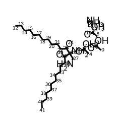 CC(=O)O.CC(=O)O.CC(=O)O.CCCCCCCCCCCC(=O)C(N)(CN)C(=O)CCCCCCCCCCC.N.N